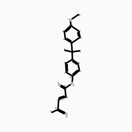 COc1ccc(C(C)(C)c2ccc(OC(=O)/C=C/C(C)=O)cc2)cc1